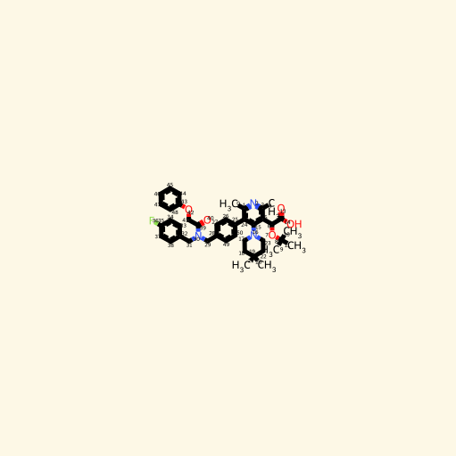 Cc1nc(C)c(C(OC(C)(C)C)C(=O)O)c(N2CCC(C)(C)CC2)c1-c1ccc(CN(Cc2ccc(F)cc2)C(=O)COc2ccccc2)cc1